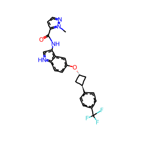 Cn1nccc1C(=O)Nc1c[nH]c2ccc(O[C@H]3C[C@H](c4ccc(C(F)(F)F)cc4)C3)cc12